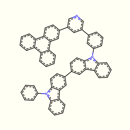 c1ccc(-n2c3ccccc3c3cc(-c4ccc5c(c4)c4ccccc4n5-c4cccc(-c5cncc(-c6ccc7c8ccccc8c8ccccc8c7c6)c5)c4)ccc32)cc1